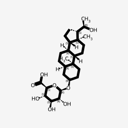 C[C@@H](O)[C@H]1CC[C@H]2[C@@H]3CC[C@@H]4C[C@H](O[C@@H]5O[C@H](C(=O)O)[C@@H](O)[C@H](O)[C@H]5O)CC[C@]4(C)[C@H]3CC[C@]12C